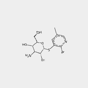 Cc1cnc(Br)c(SC2OC(CO)C(O)C(N)C2O)c1